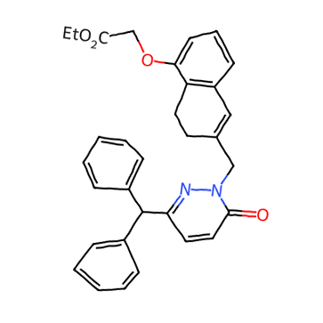 CCOC(=O)COc1cccc2c1CCC(Cn1nc(C(c3ccccc3)c3ccccc3)ccc1=O)=C2